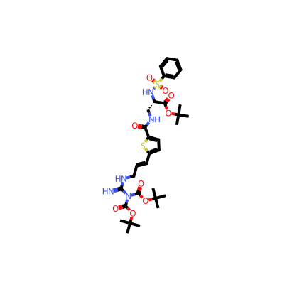 CC(C)(C)OC(=O)[C@H](CNC(=O)c1ccc(C=CCNC(=N)N(C(=O)OC(C)(C)C)C(=O)OC(C)(C)C)s1)NS(=O)(=O)c1ccccc1